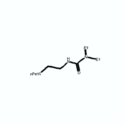 CCCCCCCNC(=O)N(CC)CC